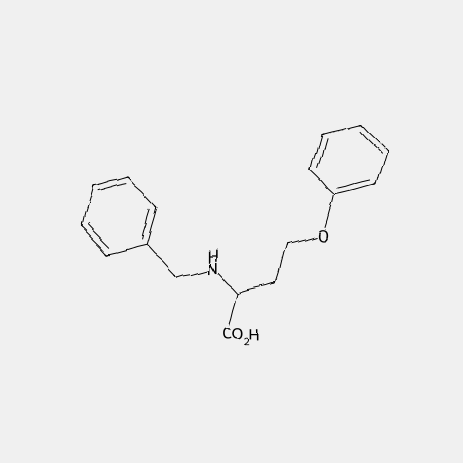 O=C(O)C(CCOc1ccccc1)NCc1ccccc1